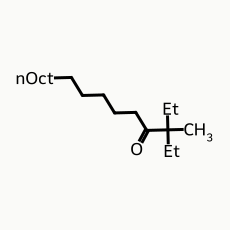 CCCCCCCCCCCCCC(=O)C(C)(CC)CC